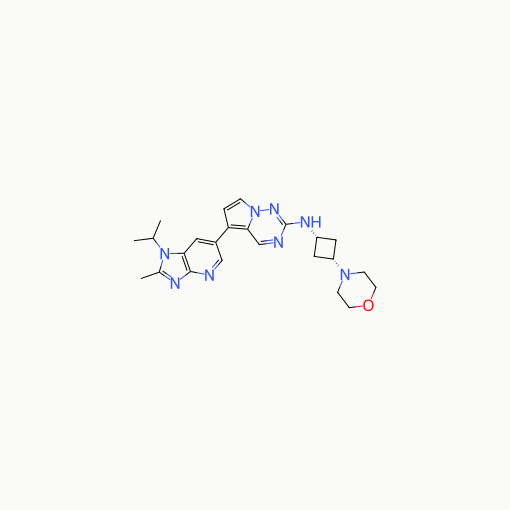 Cc1nc2ncc(-c3ccn4nc(N[C@H]5C[C@@H](N6CCOCC6)C5)ncc34)cc2n1C(C)C